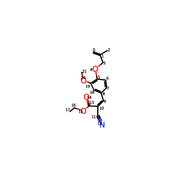 C=C(C)COc1ccc(C=C(C#N)C(=O)OCC)cc1OC